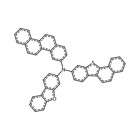 c1ccc2c(c1)ccc1c3cc(N(c4ccc5c(c4)oc4ccccc45)c4ccc5c(c4)sc4c6ccccc6ccc54)ccc3ccc21